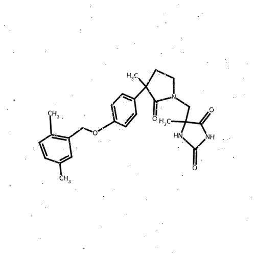 Cc1ccc(C)c(COc2ccc(C3(C)CCN(CC4(C)NC(=O)NC4=O)C3=O)cc2)c1